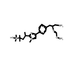 BOC=NC(CN)Cc1ccc(-c2cn(C)c(C(C)CC(C)(C)[Si](C)(C)O)n2)cc1